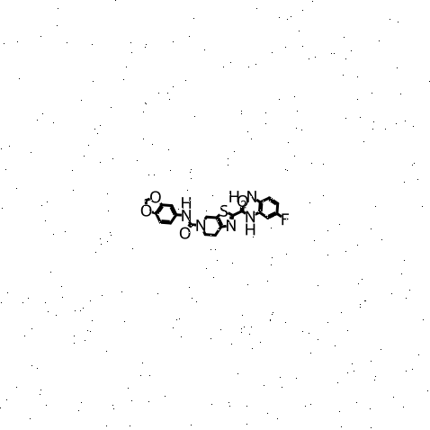 Nc1ccc(F)cc1NC(=O)c1nc2c(s1)CN(C(=O)Nc1ccc3c(c1)OCO3)CC2